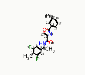 Cc1c(F)cc([C@@H](C)NC(=O)c2coc(-c3cccc(C(C)C)c3)n2)cc1F